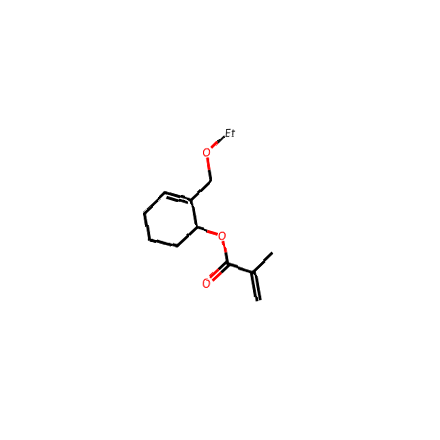 C=C(C)C(=O)OC1CCCC=C1COCC